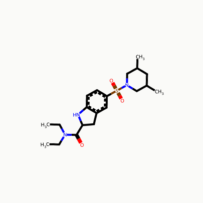 CCN(CC)C(=O)C1Cc2cc(S(=O)(=O)N3CC(C)CC(C)C3)ccc2N1